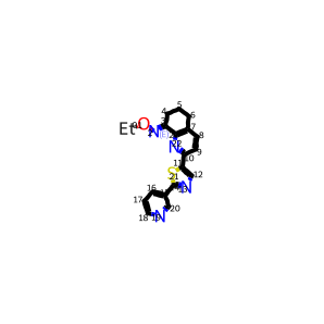 CCO/N=C1\CCCc2ccc(-c3cnc(-c4cccnc4)s3)nc21